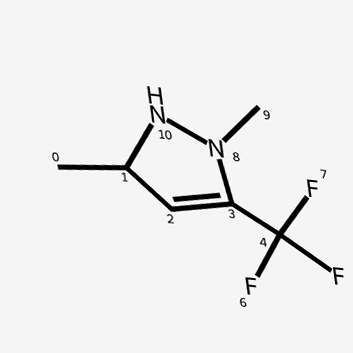 CC1C=C(C(F)(F)F)N(C)N1